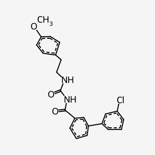 COc1ccc(CCNC(=O)NC(=O)c2cccc(-c3cccc(Cl)c3)c2)cc1